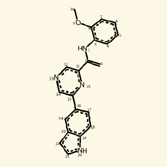 C=C(Nc1ccccc1OC)c1cncc(-c2ccc3[nH]ccc3c2)n1